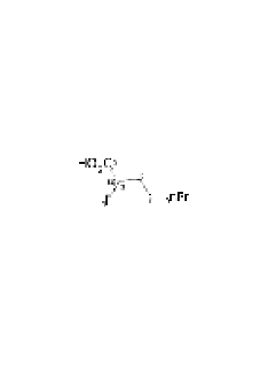 CCCCC[C@H](F)C(=O)O